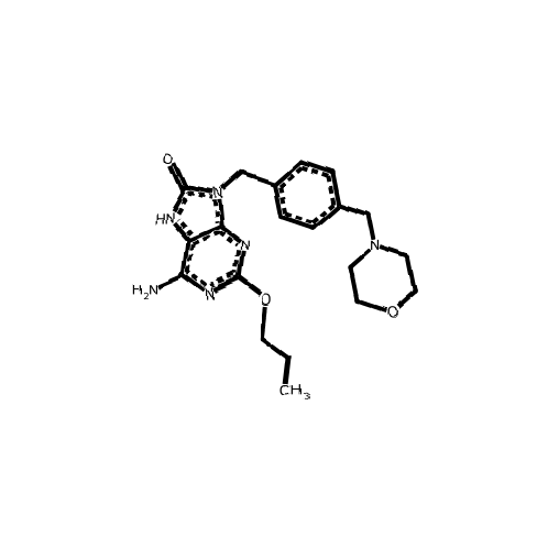 CCCOc1nc(N)c2[nH]c(=O)n(Cc3ccc(CN4CCOCC4)cc3)c2n1